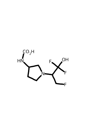 O=C(O)NC1CCN(C(CF)C(O)(F)F)C1